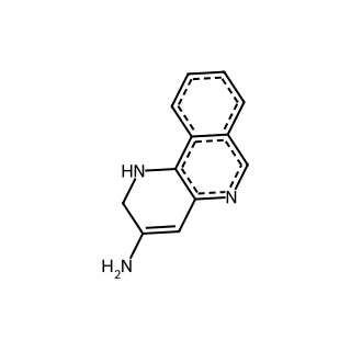 NC1=Cc2ncc3ccccc3c2NC1